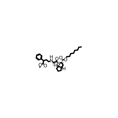 CCCCCCCCOC(=O)[C@@H]1C[C@@H]2CCC[C@@H]2N1C(=O)[C@H](C)NCCC(C(=O)OC)c1ccccc1